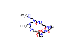 CC(C)=CC(NC(=O)CCCCNC(=O)CN(CCNCC(=O)O)CCN(CCN(C)CC(=O)O)CC(=O)O)C(=O)NCC(=O)N1CCC[C@H]1B(O)O